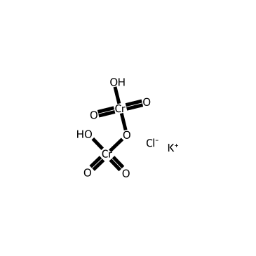 [Cl-].[K+].[O]=[Cr](=[O])([OH])[O][Cr](=[O])(=[O])[OH]